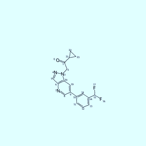 O=C(Cn1ncc2ncc(-c3cccc(C(F)F)c3)cc21)C1CC1